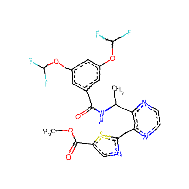 COC(=O)c1cnc(-c2nccnc2C(C)NC(=O)c2cc(OC(F)F)cc(OC(F)F)c2)s1